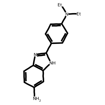 CCN(CC)c1ccc(-c2nc3ccc(N)cc3[nH]2)cc1